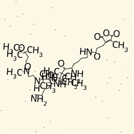 COC(C)(C)CCON(C)CCNC(C)(C)C(=O)C(CCCCN)NC(C)(C)C(C)(C)C(=O)C(CCCCNC(=O)CCC1=C(C)C(=O)OC1=O)NC(C)C